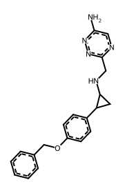 Nc1cnc(CNC2CC2c2ccc(OCc3ccccc3)cc2)nn1